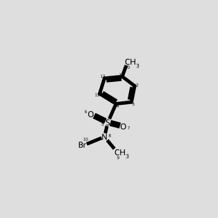 Cc1ccc(S(=O)(=O)N(C)Br)cc1